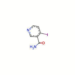 NC(=O)c1cnccc1I